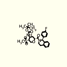 CC(C)(C)OC(=O)N[C@H]1C[C@H](C(=O)N2CCc3ccccc3[C@@H]2c2ccc(F)cc2)OC[C@@H]1S(C)(=O)=O